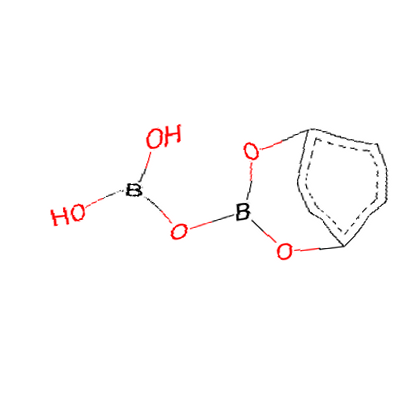 OB(O)OB1Oc2ccc(cc2)O1